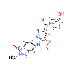 Cn1nc2cc(N3CCOc4cc(C(=O)N5CCC[C@@H](O)C5)cnc43)ccn2c1=O